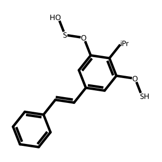 CC(C)c1c(OS)cc(/C=C/c2ccccc2)cc1OSO